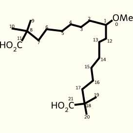 COC(CCCCCCC(C)(C)C(=O)O)CCCCCCC(C)(C)C(=O)O